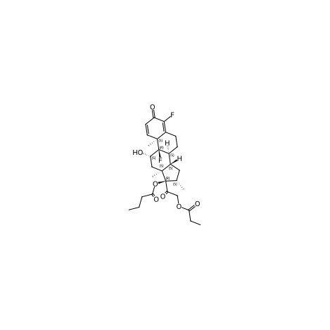 CCCC(=O)O[C@]1(C(=O)COC(=O)CC)[C@@H](C)C[C@H]2[C@@H]3CCC4=C(F)C(=O)C=C[C@]4(C)[C@@]3(F)[C@@H](O)C[C@@]21C